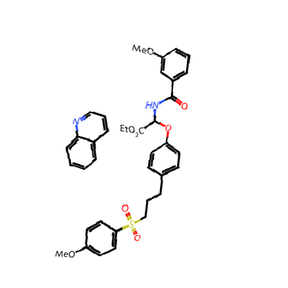 CCOC(=O)C(NC(=O)c1cccc(OC)c1)Oc1ccc(CCCS(=O)(=O)c2ccc(OC)cc2)cc1.c1ccc2ncccc2c1